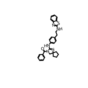 O=C(c1ccccc1)N1CC2(CCCC2)N=C1Nc1ccc(CCNc2nc3ccccc3s2)cc1